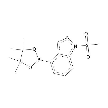 CC1(C)OB(c2cccc3c2cnn3S(C)(=O)=O)OC1(C)C